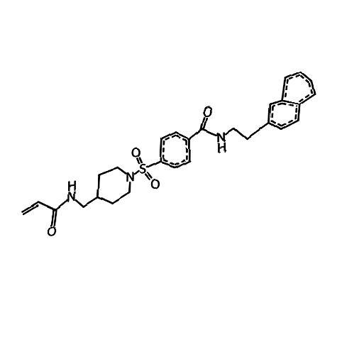 C=CC(=O)NCC1CCN(S(=O)(=O)c2ccc(C(=O)NCCc3ccc4ccccc4c3)cc2)CC1